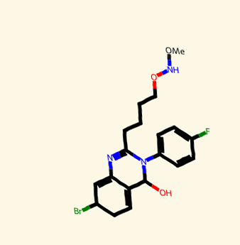 CONOCCCCC1=NC2=CC(Br)CC=C2C(O)N1c1ccc(F)cc1